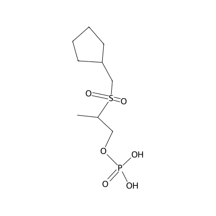 CC(COP(=O)(O)O)S(=O)(=O)CC1CCCC1